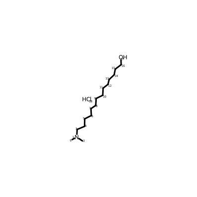 CN(C)CCCCCCCCCCCCCCO.Cl